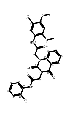 COc1cc(OC)c(NC(=O)Cn2c(=O)n(CC(=O)Nc3ccccc3O)c(=O)c3ccccc32)cc1Cl